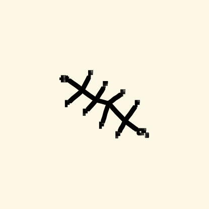 C[CH]C(F)(F)C(F)(F)C(F)(F)C(F)(F)C(F)(F)F